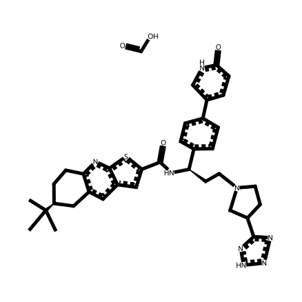 CC(C)(C)[C@H]1CCc2nc3sc(C(=O)N[C@H](CCN4CCC(c5nn[nH]n5)C4)c4ccc(-c5ccc(=O)[nH]c5)cc4)cc3cc2C1.O=CO